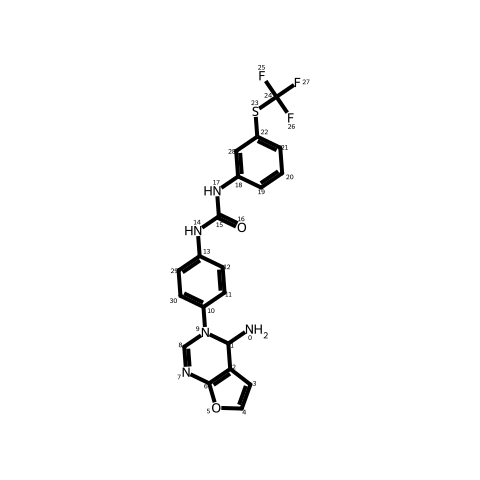 NC1c2ccoc2N=CN1c1ccc(NC(=O)Nc2cccc(SC(F)(F)F)c2)cc1